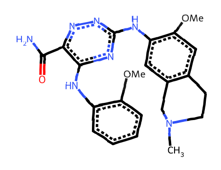 COc1cc2c(cc1Nc1nnc(C(N)=O)c(Nc3ccccc3OC)n1)CN(C)CC2